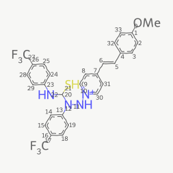 COc1ccc(/C=C/c2cc[n+](NN(c3ccc(C(F)(F)F)cc3)C(S)Nc3ccc(C(F)(F)F)cc3)cc2)cc1